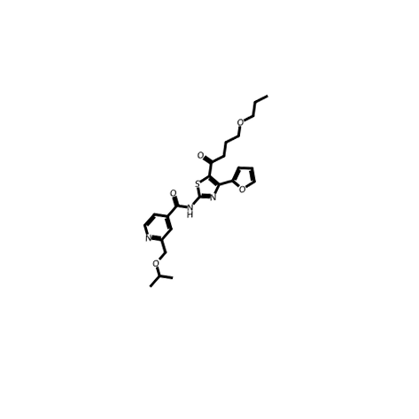 CCCOCCCC(=O)c1sc(NC(=O)c2ccnc(COC(C)C)c2)nc1-c1ccco1